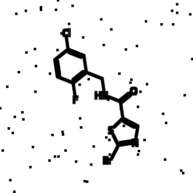 O=C(NCc1cc(Cl)ccc1F)c1cnc(Br)s1